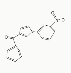 O=C(c1ccccc1)c1ccn(-c2cccc([N+](=O)[O-])c2)c1